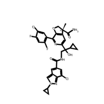 C[C@]1(C(N)=O)COc2c1cc(C(O)(CNC(=O)c1cc(Cl)c3nn(C4CC4)cc3c1)C1CC1)nc2-c1cc(Cl)c(F)cc1F